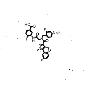 Cn1nc(C(=O)N(CC(=O)Nc2cc(C(=O)O)ccc2F)Cc2ccccc2F)c2c1-c1cc(F)ccc1OC2.[NaH]